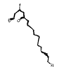 C[C@H](CC=O)CC(=O)CCCCCCCCCCS